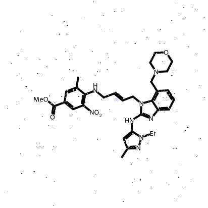 CCn1nc(C)cc1Nc1nc2cccc(CN3CCOCC3)c2n1C/C=C/CNc1c(C)cc(C(=O)OC)cc1[N+](=O)[O-]